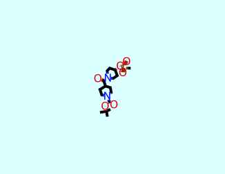 CC(C)(C)OC(=O)N1CCC(C(=O)N2CCC(OS(C)(=O)=O)CC2)CC1